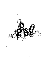 Cc1cc([C@H](C)Nc2ccc(Cl)nc2-c2ccc(C(=O)O)cc2)c2oc(N3CCOCC3)c(C)c(=O)c2c1